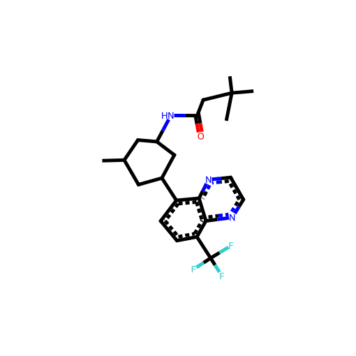 CC1CC(NC(=O)CC(C)(C)C)CC(c2ccc(C(F)(F)F)c3nccnc23)C1